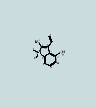 C=CC1=C(CC)[Si](C)(C)c2cccc(C#N)c21